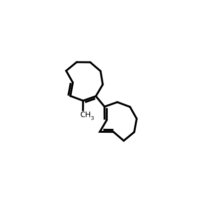 CC1=C(\C2=C/C=C/CCCCC2)CCCCC\C=C\1